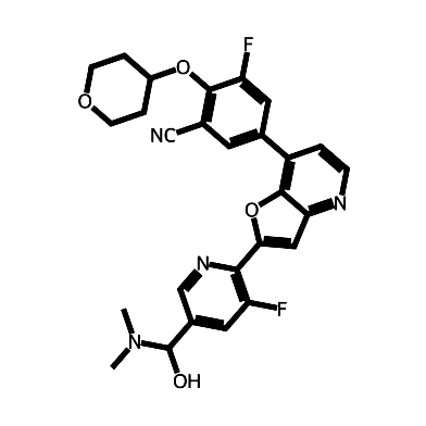 CN(C)C(O)c1cnc(-c2cc3nccc(-c4cc(F)c(OC5CCOCC5)c(C#N)c4)c3o2)c(F)c1